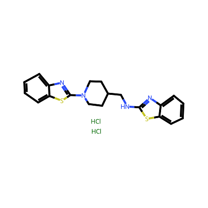 Cl.Cl.c1ccc2sc(NCC3CCN(c4nc5ccccc5s4)CC3)nc2c1